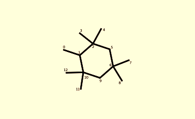 CC1C(C)(C)CC(C)(C)CC1(C)C